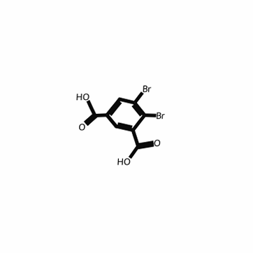 O=C(O)c1cc(Br)c(Br)c(C(=O)O)c1